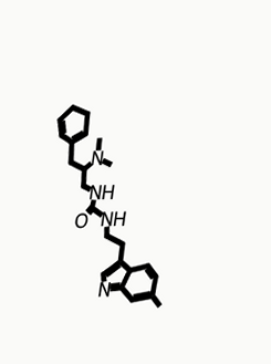 CC1=CC2=NC=C(CCNC(=O)NCC(CC3=CCCC=C3)N(C)C)C2C=C1